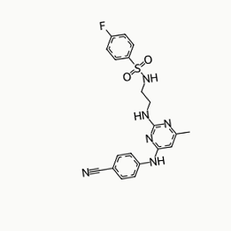 Cc1cc(Nc2ccc(C#N)cc2)nc(NCCNS(=O)(=O)c2ccc(F)cc2)n1